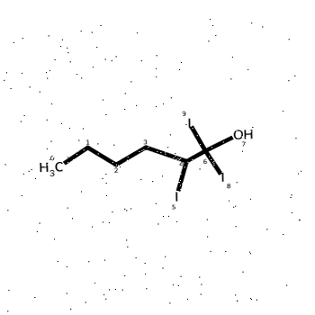 CCCCC(I)C(O)(I)I